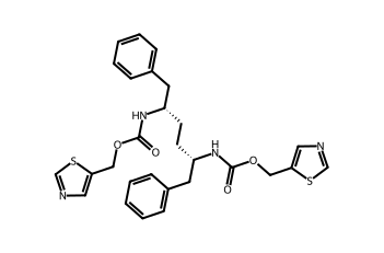 O=C(N[C@@H](CC[C@@H](Cc1ccccc1)NC(=O)OCc1cncs1)Cc1ccccc1)OCc1cncs1